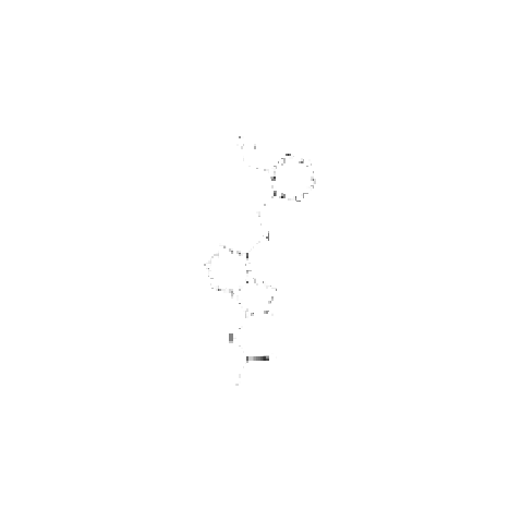 COc1ccccc1CNc1nccn2c(NC(=O)O)nnc12